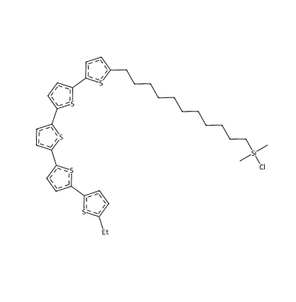 CCc1ccc(-c2ccc(-c3ccc(-c4ccc(-c5ccc(CCCCCCCCCCC[Si](C)(C)Cl)s5)s4)s3)s2)s1